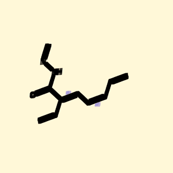 C=C/C=C\C=C(/C=C)C(=O)NN=C